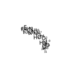 C[C@@H](COCC(O)CN1CCN(c2ncc(C(F)(F)F)cn2)CC1)NC(=O)OC(C)(C)C